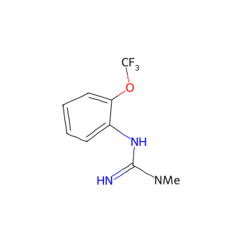 CNC(=N)Nc1ccccc1OC(F)(F)F